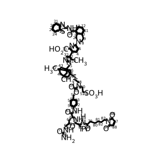 Cc1c(-c2ccc(N3CCc4cccc(C(=O)Nc5nc6ccccc6s5)c4C3)nc2C(=O)O)cnn1CC12CC3(C)CC(C)(C1)CC(SCCN(CCS(=O)(=O)O)C(=O)OCc1ccc(NC(=O)[C@H](CCCNC(N)=O)NC(=O)C(NC(=O)CCCCCN4C(=O)C=CC4=O)C(C)C)cc1)(C3)C2